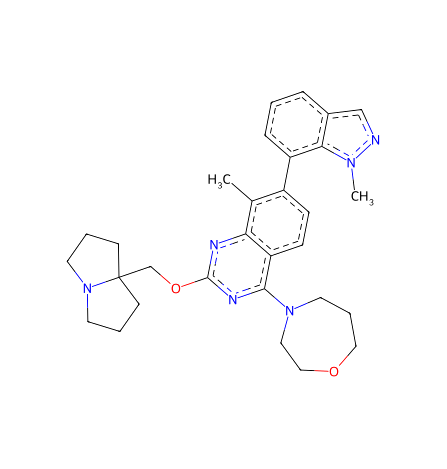 Cc1c(-c2cccc3cnn(C)c23)ccc2c(N3CCCOCC3)nc(OCC34CCCN3CCC4)nc12